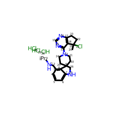 CC(C)NCc1cccc2c1C1(CCN(c3ncnc4c3C(C)(Cl)CC4)CC1)CN2.Cl.Cl.Cl